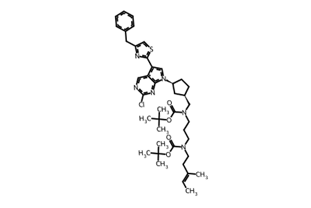 C/C=C(\C)CCN(CCCN(C[C@@H]1CC[C@H](n2cc(-c3nc(Cc4ccccc4)cs3)c3cnc(Cl)nc32)C1)C(=O)OC(C)(C)C)C(=O)OC(C)(C)C